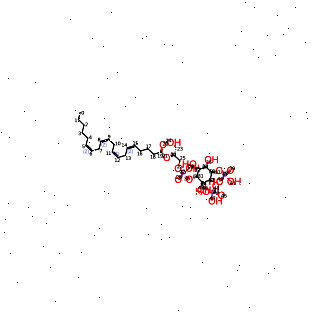 CCCCC/C=C\C/C=C\C/C=C\C/C=C\CCCC(=O)O[C@H](CO)COP(=O)(O)O[C@@H]1[C@H](O)[C@H](O)[C@@H](OP(=O)(O)O)[C@H](OP(=O)(O)O)[C@H]1O